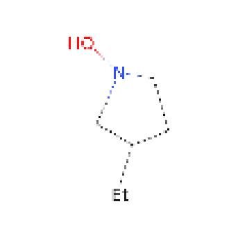 [CH2]CC1CCN(O)C1